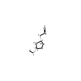 CC[C@H]1CC[C@@H](CN=O)O1